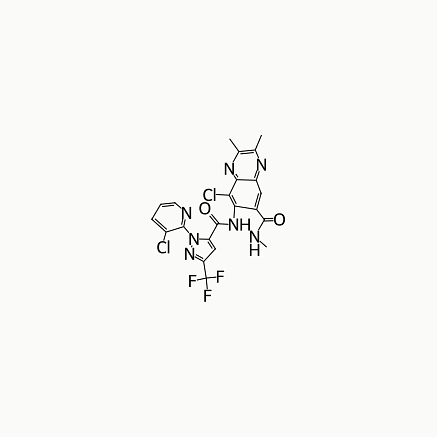 CNC(=O)c1cc2nc(C)c(C)nc2c(Cl)c1NC(=O)c1cc(C(F)(F)F)nn1-c1ncccc1Cl